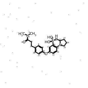 CN(C)C(=O)CCc1ccc(Oc2ccc3c(c2)S(O)(O)NC2CCCN32)cc1